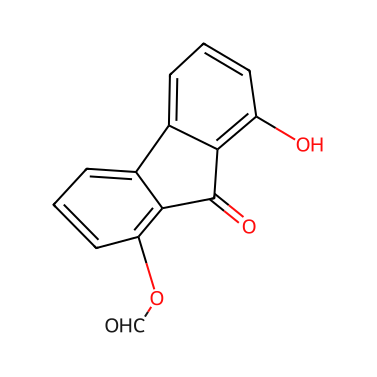 O=COc1cccc2c1C(=O)c1c(O)cccc1-2